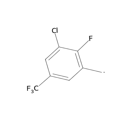 [CH2]c1cc(C(F)(F)F)cc(Cl)c1F